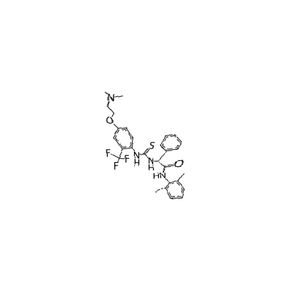 Cc1cccc(C)c1NC(=O)C(NC(=S)Nc1ccc(OCCN(C)C)cc1C(F)(F)F)c1ccccc1